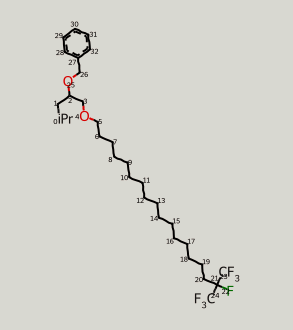 CC(C)CC(COCCCCCCCCCCCCCCCCC(F)(C(F)(F)F)C(F)(F)F)OCc1ccccc1